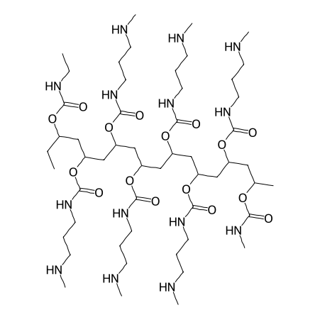 CCNC(=O)OC(CC)CC(CC(CC(CC(CC(CC(CC(C)OC(=O)NC)OC(=O)NCCCNC)OC(=O)NCCCNC)OC(=O)NCCCNC)OC(=O)NCCCNC)OC(=O)NCCCNC)OC(=O)NCCCNC